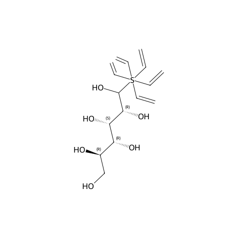 C=CS(C=C)(C=C)(C=C)(C=C)C(O)[C@H](O)[C@@H](O)[C@H](O)[C@H](O)CO